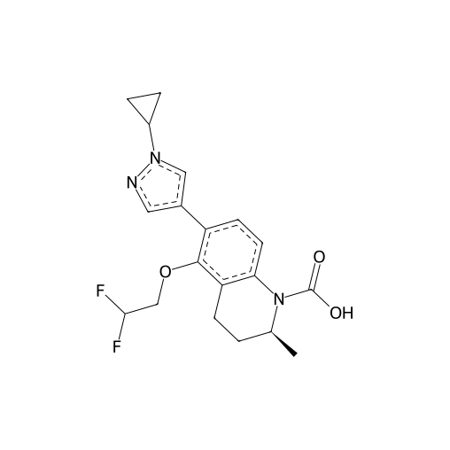 C[C@H]1CCc2c(ccc(-c3cnn(C4CC4)c3)c2OCC(F)F)N1C(=O)O